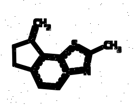 C=C1CCc2ccc3nc(C)sc3c21